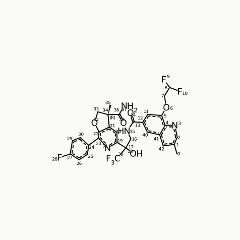 Cc1cnc2c(OCC(F)F)cc(C(=O)NCC(O)(c3cc4c(c(-c5ccc(F)cc5)n3)OC[C@]4(C)C(N)=O)C(F)(F)F)cc2c1